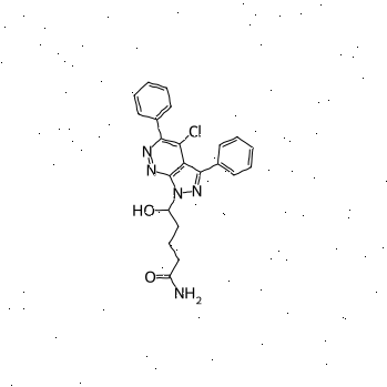 NC(=O)CCCC(O)n1nc(-c2ccccc2)c2c(Cl)c(-c3ccccc3)nnc21